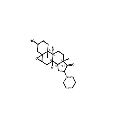 C[C@]12CC[C@@H]3[C@@H](CC4OC45CC(O)CC[C@]35C)[C@@H]1CC(N1CCCCC1)C2=O